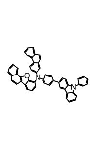 c1ccc(-n2c3ccccc3c3cc(-c4ccc(N(c5ccc6c(ccc7ccccc76)c5)c5cccc6c5oc5c7ccccc7ccc65)cc4)ccc32)cc1